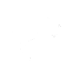 O=C1CC2(CCNCC2)c2cc(-c3c[nH]c4ncc(F)cc34)ccc21